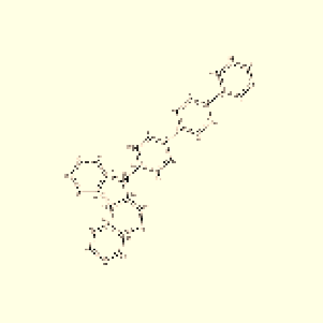 c1ccc(-c2ccc(-c3cnc(-n4c5ccccc5c5c6ccccc6ccc54)nc3)cc2)nc1